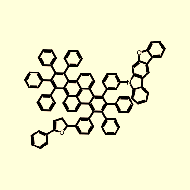 C1=C(c2ccccc2)OC(c2cccc(-c3c(-c4ccccc4)c(-c4ccccc4)c(-c4cccc(-n5c6ccccc6c6cc7c(cc65)oc5ccccc57)c4)c4c5cccc6c7c(-c8ccccc8)c(-c8ccccc8)c(-c8ccccc8)c(-c8ccccc8)c7c7cccc(c34)c7c65)c2)C1